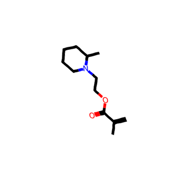 C=C(C)C(=O)OCCN1CCCCC1C